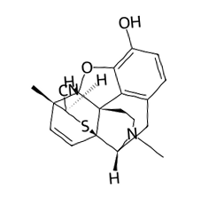 CN1CC[C@]23c4c5ccc(O)c4O[C@H]2[C@@]2(C)C=C[C@@]3(S[C@@H]2C#N)[C@H]1C5